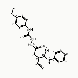 CSc1ccc(NC(=S)NNC(=O)CC(C=O)C(S)Nc2ccccc2)cc1